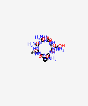 CC(C)C[C@@H]1NC(=O)[C@@H](Cc2ccccc2)NC(=O)[C@H](CCN)NC(=O)[C@@H](NC(=O)[C@H](N)CO)CCNC(=O)C([C@@H](C)O)NC(=O)[C@H](CCN)NC(=O)[C@H](CCN)NC1=O